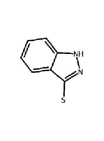 [S]c1n[nH]c2ccccc12